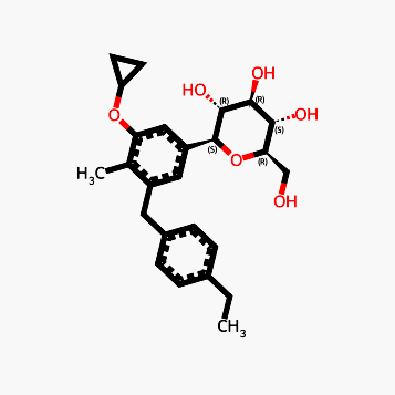 CCc1ccc(Cc2cc([C@@H]3O[C@H](CO)[C@@H](O)[C@H](O)[C@H]3O)cc(OC3CC3)c2C)cc1